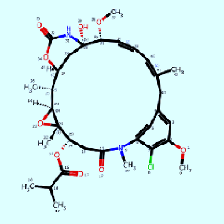 COc1cc2cc(c1Cl)N(C)C(=O)C[C@H](OC(=O)C(C)C)[C@]1(C)O[C@H]1[C@H](C)[C@@H]1C[C@@](O)(NC(=O)O1)[C@H](OC)/C=C\C=C(\C)C2